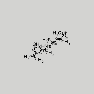 C=C(C)c1cc(O)cc(C(=C)NC/C(C)=C/C=C(\C)C2(C)CC2)c1